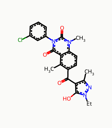 CCn1nc(C)c(C(=O)c2ccc3c(c2C)c(=O)n(-c2cccc(Cl)c2)c(=O)n3C)c1O